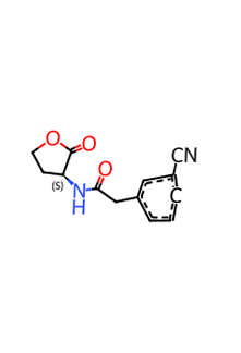 N#Cc1cccc(CC(=O)N[C@H]2CCOC2=O)c1